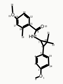 COc1ccc(C2C(NC(=O)c3ccc(OC)cc3C)C2(C)C)cc1